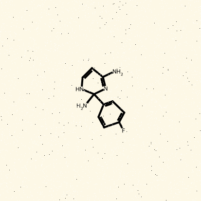 NC1=NC(N)(c2ccc(F)cc2)NC=C1